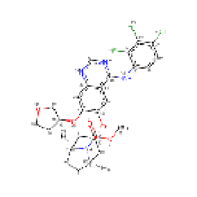 CC(C)(C)OC(=O)N1[C@@H]2CC[C@H]1C[C@H](Oc1cc3c(Nc4ccc(Cl)c(Cl)c4F)ncnc3cc1O[C@H]1CCOC1)C2